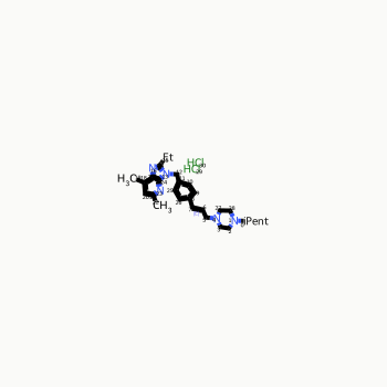 CCCC(C)N1CCN(C/C=C/c2ccc(Cn3c(CC)nc4c(C)cc(C)nc43)cc2)CC1.Cl.Cl